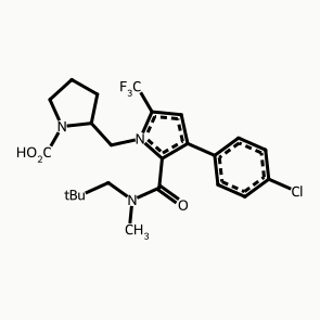 CN(CC(C)(C)C)C(=O)c1c(-c2ccc(Cl)cc2)cc(C(F)(F)F)n1CC1CCCN1C(=O)O